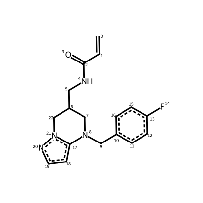 C=CC(=O)NCC1CN(Cc2ccc(F)cc2)c2ccnn2C1